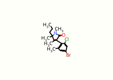 CCCC1(C)C(C)=C(c2c(C)cc(Br)cc2Cl)C(=O)N1C